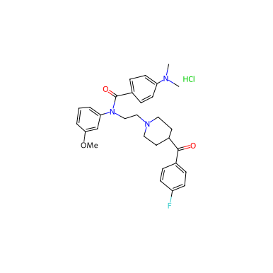 COc1cccc(N(CCN2CCC(C(=O)c3ccc(F)cc3)CC2)C(=O)c2ccc(N(C)C)cc2)c1.Cl